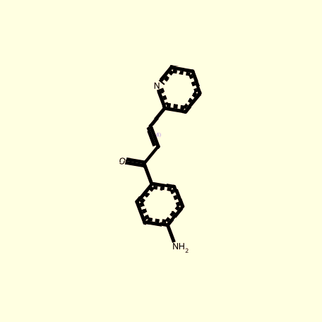 Nc1ccc(C(=O)/C=C/c2ccccn2)cc1